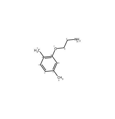 Cc1ccc(C)c(OCCN)c1